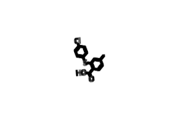 Cc1ccc(C(=O)O)c(Sc2ccc(Cl)cc2)c1